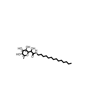 CCCCCCCCCCCCCCNC(=O)C(O)C1O[C@@H](C)[C@H](O)[C@@H](O)[C@H]1O